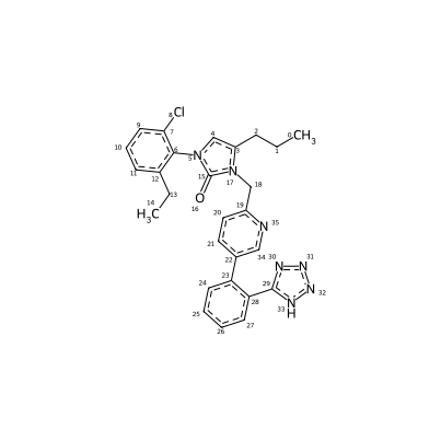 CCCc1cn(-c2c(Cl)cccc2CC)c(=O)n1Cc1ccc(-c2ccccc2-c2nnn[nH]2)cn1